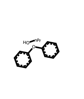 CCCO.c1ccc(Oc2ccccc2)cc1